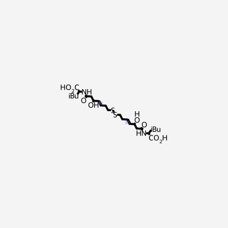 CCC(C)C(NC(=O)CC(O)/C=C/CCSSCC/C=C/C(O)CC(=O)NC(C(=O)O)C(C)CC)C(=O)O